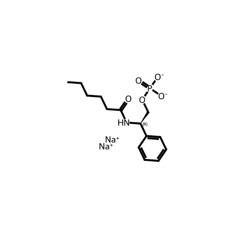 CCCCCC(=O)N[C@@H](COP(=O)([O-])[O-])c1ccccc1.[Na+].[Na+]